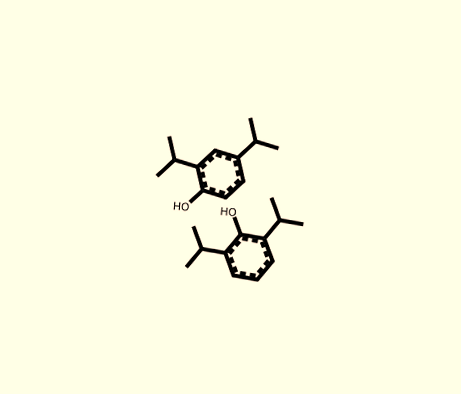 CC(C)c1ccc(O)c(C(C)C)c1.CC(C)c1cccc(C(C)C)c1O